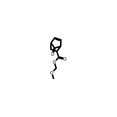 COCOC(=O)C1CC2C=CC1C2=O